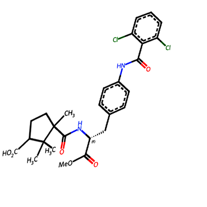 COC(=O)[C@@H](Cc1ccc(NC(=O)c2c(Cl)cccc2Cl)cc1)NC(=O)C1(C)CCC(C(=O)O)C1(C)C